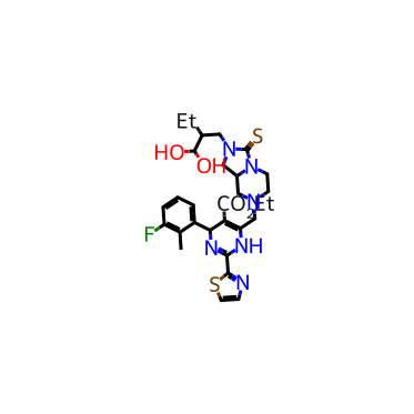 CCOC(=O)C1=C(CN2CCN3C(=S)N(CC(CC)C(O)O)CC3C2)NC(c2nccs2)=NC1c1cccc(F)c1C